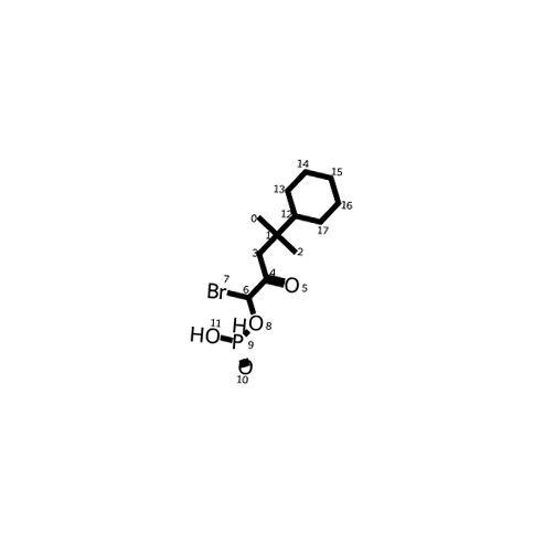 CC(C)(CC(=O)C(Br)O[PH](=O)O)C1CCCCC1